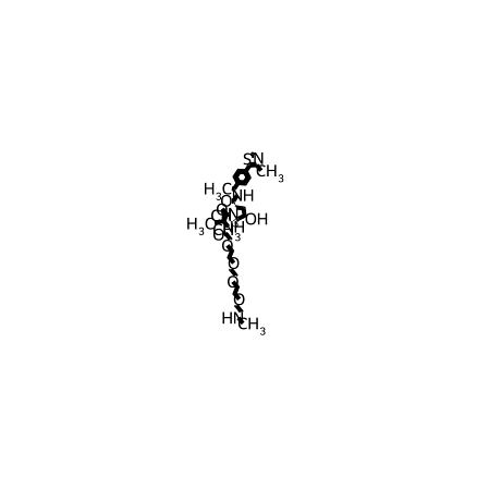 CNCCOCCOCCOCCOCC(=O)NC(C(=O)N1C[C@H](O)C[C@H]1C(=O)NC(C)c1ccc(-c2scnc2C)cc1)C(C)(C)C